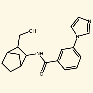 O=C(NC1C2CCC(C2)C1CO)c1cccc(-n2ccnc2)c1